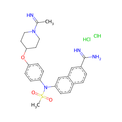 CC(=N)N1CCC(Oc2ccc(N(c3ccc4ccc(C(=N)N)cc4c3)S(C)(=O)=O)cc2)CC1.Cl.Cl